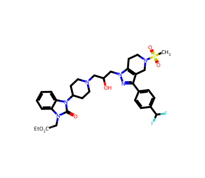 CCOC(=O)Cn1c(=O)n(C2CCN(CC(O)Cn3nc(-c4ccc(C(F)F)cc4)c4c3CCN(S(C)(=O)=O)C4)CC2)c2ccccc21